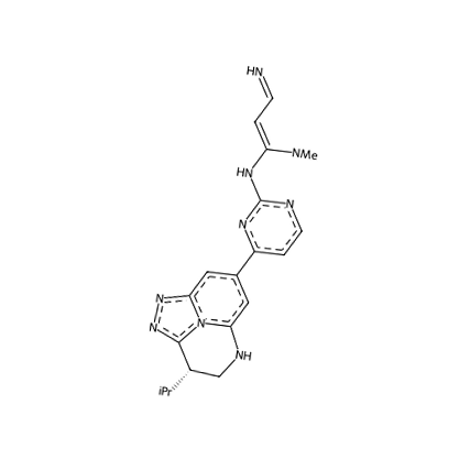 CN/C(=C\C=N)Nc1nccc(-c2cc3n4c(nnc4c2)[C@@H](C(C)C)CN3)n1